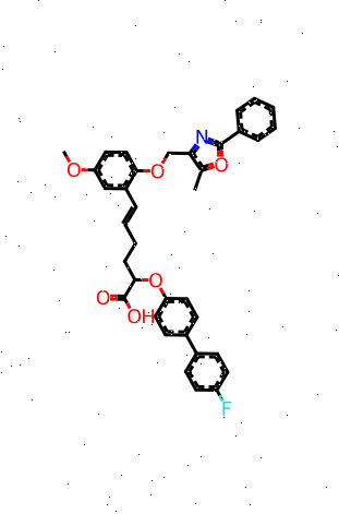 COc1ccc(OCc2nc(-c3ccccc3)oc2C)c(/C=C/CCC(Oc2ccc(-c3ccc(F)cc3)cc2)C(=O)O)c1